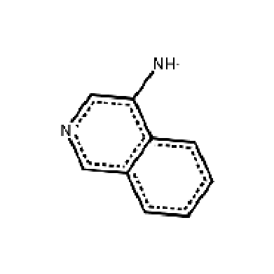 [NH]c1cncc2ccccc12